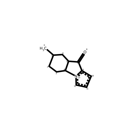 CC1CCC2C(C1)C(=O)c1cccn12